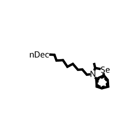 CCCCCCCCCCCCCCCCCCN1c2ccccc2[Se]C1C